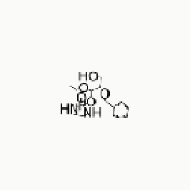 CCOC(OP1(=O)NCCN1)C(CO)OCc1ccccc1